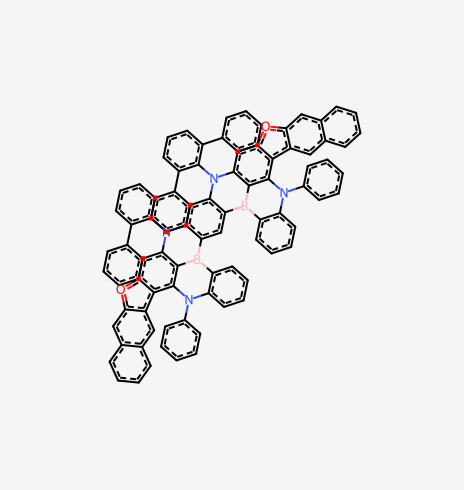 c1ccc(-c2ccccc2N2c3cc4c(cc3B3c5ccccc5N(c5ccccc5)c5c3c2cc2oc3cc6ccccc6cc3c52)B2c3ccccc3N(c3ccccc3)c3c2c(cc2oc5cc6ccccc6cc5c32)N4c2c(-c3ccccc3)cccc2-c2ccccc2)cc1